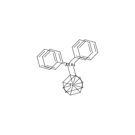 c1ccc([As](c2ccccc2)[C]23[CH]4[CH]5[CH]6[CH]2[Fe]56432789[CH]3[CH]2[CH]7[C]8([As](c2ccccc2)c2ccccc2)[CH]39)cc1